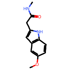 CNC(=O)Cc1cc2cc(OC)ccc2[nH]1